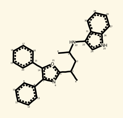 CC(CC(C)c1nc(-c2ccccc2)c(-c2ccccc2)o1)Nc1c[nH]c2ccccc12